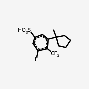 CC1(c2cc(S(=O)(=O)O)cc(F)c2C(F)(F)F)CCCC1